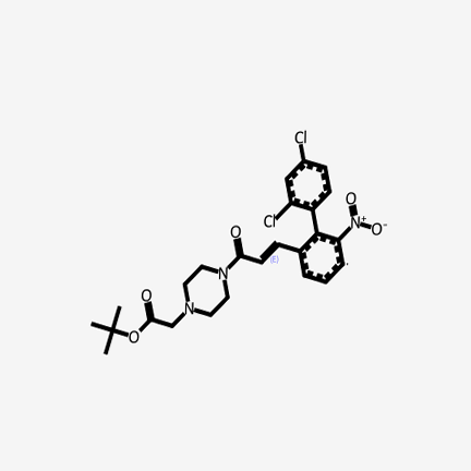 CC(C)(C)OC(=O)CN1CCN(C(=O)/C=C/c2cc[c]c([N+](=O)[O-])c2-c2ccc(Cl)cc2Cl)CC1